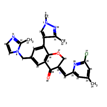 CCn1cc(-c2cc(Cn3ccnc3C)cc3c2OC/C(=C\c2cc(C)cc(Cl)n2)C3=O)c(C(F)(F)F)n1